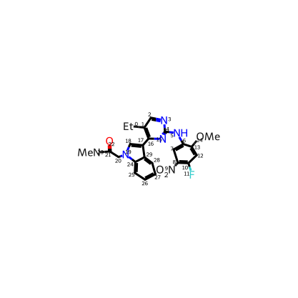 CCc1cnc(Nc2cc([N+](=O)[O-])c(F)cc2OC)nc1-c1cn(CC(=O)NC)c2ccccc12